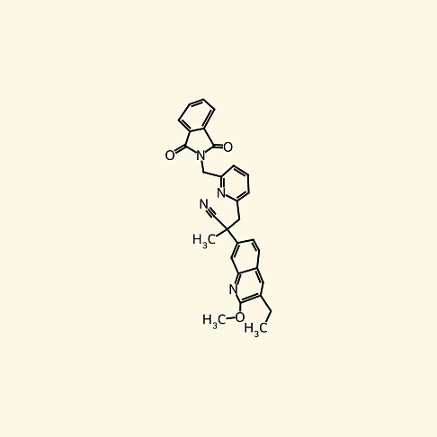 CCc1cc2ccc(C(C)(C#N)Cc3cccc(CN4C(=O)c5ccccc5C4=O)n3)cc2nc1OC